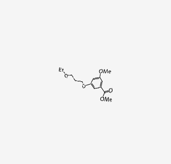 CCOCCCOc1cc(OC)cc(C(=O)OC)c1